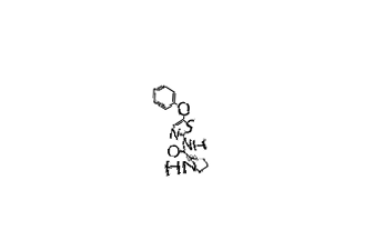 O=C(Nc1ncc(Oc2ccccc2)s1)[C@H]1CCCN1